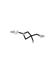 O=C(O)N1CC(F)(CO)C1